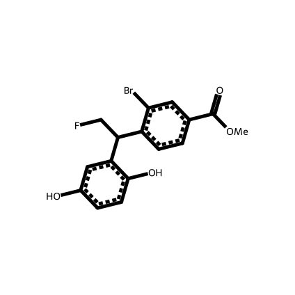 COC(=O)c1ccc(C(CF)c2cc(O)ccc2O)c(Br)c1